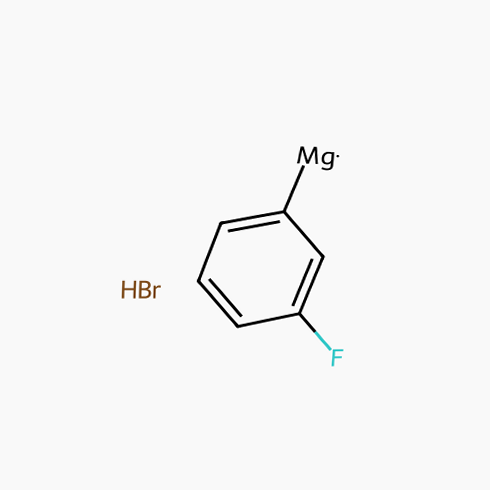 Br.Fc1ccc[c]([Mg])c1